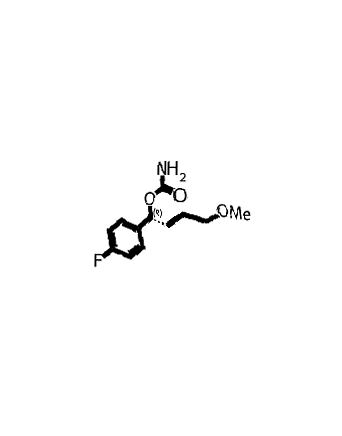 COCCC[C@@H](OC(N)=O)c1ccc(F)cc1